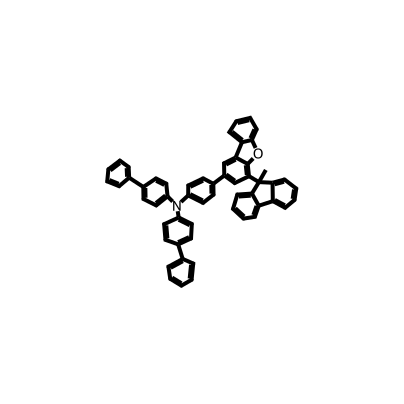 CC1(c2cc(-c3ccc(N(c4ccc(-c5ccccc5)cc4)c4ccc(-c5ccccc5)cc4)cc3)cc3c2oc2ccccc23)c2ccccc2-c2ccccc21